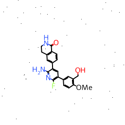 COc1ccc(-c2cc(-c3ccc4c(c3)CCNC4=O)c(N)nc2F)cc1CO